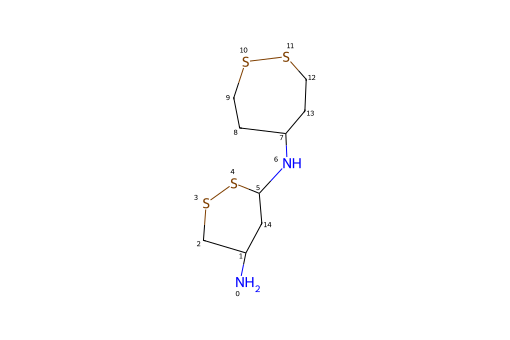 NC1CSSC(NC2CCSSCC2)C1